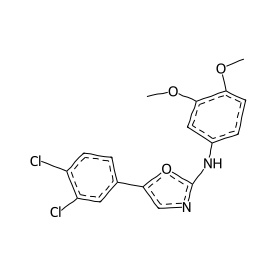 COc1ccc(Nc2ncc(-c3ccc(Cl)c(Cl)c3)o2)cc1OC